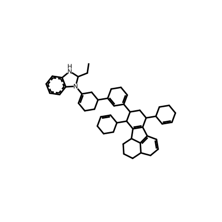 CCC1Nc2ccccc2N1C1=CCCC(C2=CC(C3CC(C4C=CCCC4)C4=C(C5CCCC6CC=CC4=C65)C3C3C=CCCC3)=CCC2)C1